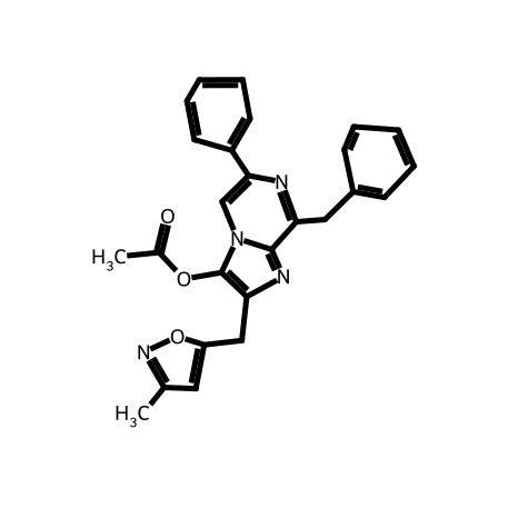 CC(=O)Oc1c(Cc2cc(C)no2)nc2c(Cc3ccccc3)nc(-c3ccccc3)cn12